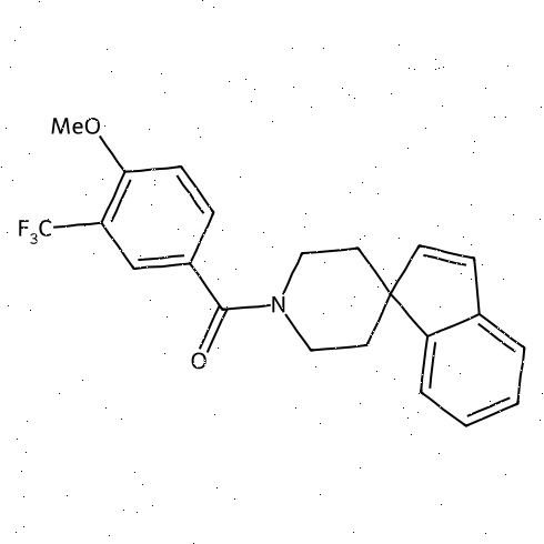 COc1ccc(C(=O)N2CCC3(C=Cc4ccccc43)CC2)cc1C(F)(F)F